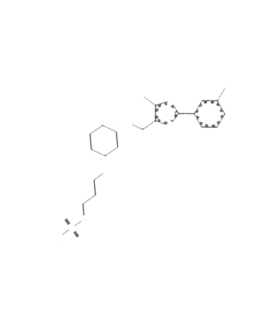 Cc1cccc(-c2nc(CO[C@H]3CCC[C@@H](OCCCNS(=O)(=O)C(F)(F)F)C3)c(C)o2)c1